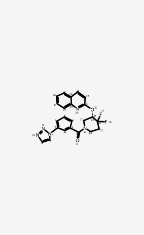 O=C(c1cccc(-n2ccnn2)c1)N1CCC(F)(F)[C@@H](Oc2ccc3ccccc3n2)C1